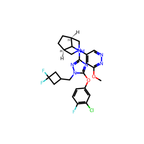 COc1cc(N2C[C@H]3CC[C@@H](C2)C3Nc2nc(Oc3ccc(F)c(Cl)c3)n(CC3CC(F)(F)C3)n2)cnn1